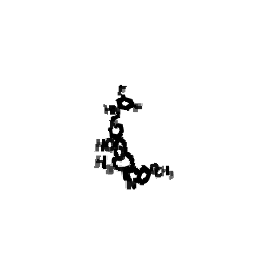 COc1ccc2ncc(C)c(CCCC3(C(=O)O)CCN(CCNc4cc(F)cc(F)c4)CC3)c2c1